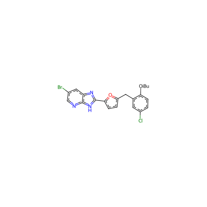 CC(C)COc1ccc(Cl)cc1Cc1ccc(-c2nc3cc(Br)cnc3[nH]2)o1